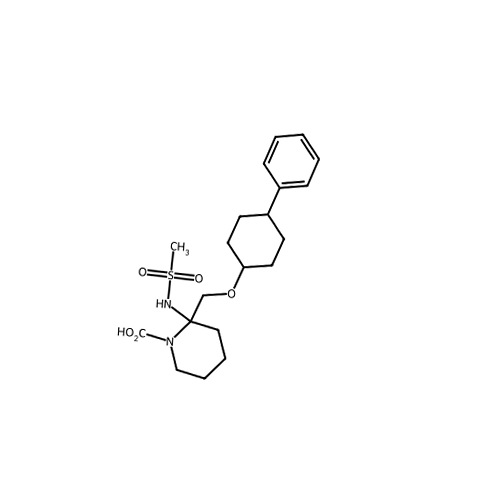 CS(=O)(=O)NC1(COC2CCC(c3ccccc3)CC2)CCCCN1C(=O)O